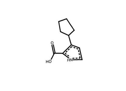 O=C(O)c1[nH]ccc1C1CCCC1